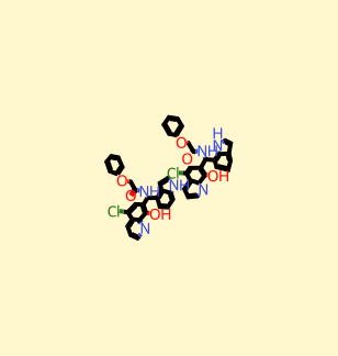 O=C(COc1ccccc1)NC(c1cc(Cl)c2cccnc2c1O)c1cccc2[nH]ccc12.O=C(COc1ccccc1)NC(c1cc(Cl)c2cccnc2c1O)c1cccc2cc[nH]c12